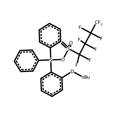 CCCCOc1ccccc1S(OS(=O)(=O)C(F)(F)C(F)(F)C(F)(F)C(F)(F)F)(c1ccccc1)c1ccccc1